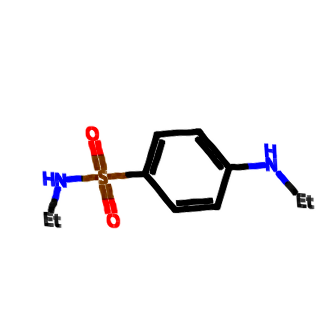 CCNc1ccc(S(=O)(=O)NCC)cc1